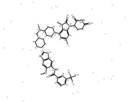 COc1cc2nc([C@H]3CC[C@H](CN(C)C4CCN(c5cc(F)cc6c5n(C)c(=O)n6C5CCC(=O)NC5=O)CC4)CC3)sc2cc1NC(=O)c1cccc(C(F)(F)F)n1